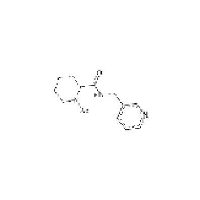 CC(=O)N1CCCCC1C(=O)NCc1cccnc1